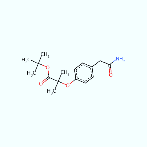 CC(C)(C)OC(=O)C(C)(C)Oc1ccc(CC(N)=O)cc1